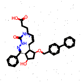 NC(=O)NN=C(c1ccccc1)[C@@H]1[C@@H](C/C=C\CCCC(=O)O)[C@@H](OCc2ccc(-c3ccccc3)cc2)C[C@H]1O